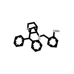 COc1ccccc1CNC1C2CCN(CC2)C1C(c1ccccc1)c1ccccc1